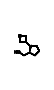 OCC1CCCN1C1COC1